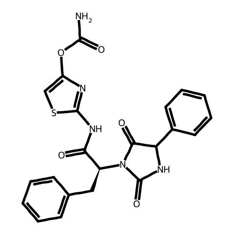 NC(=O)Oc1csc(NC(=O)[C@H](Cc2ccccc2)N2C(=O)NC(c3ccccc3)C2=O)n1